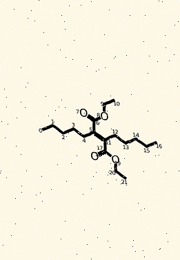 CCCCCC(C(=O)OCC)=C(CCCCC)C(=O)OCC